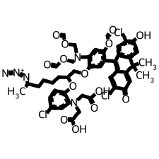 CC(CCCCC(COc1cc(C2=C3C=C(Cl)C(=O)C=C3C(C)(C)c3cc(O)c(Cl)cc32)c(OC=O)cc1N(COC=O)COC=O)Oc1ccc(Cl)cc1N(CC(=O)O)CC(=O)O)N=[N+]=[N-]